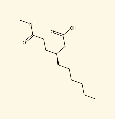 CCCCCC[C@@H](CCC(=O)NC)CC(=O)O